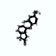 Nc1ccc(Oc2ccnc3c2CC(=O)N3)c(F)c1